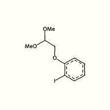 COC(COc1ccccc1I)OC